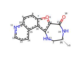 C[C@@H]1CNc2c(oc3ccc4ncccc4c23)C(=O)N1